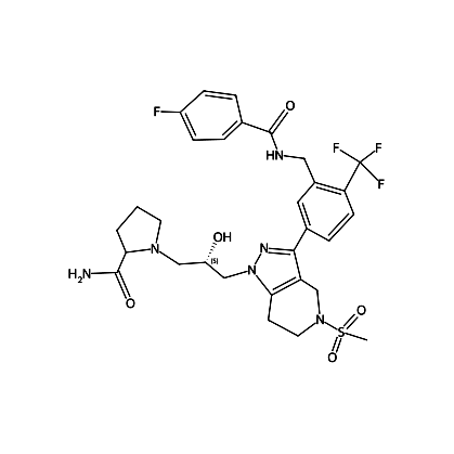 CS(=O)(=O)N1CCc2c(c(-c3ccc(C(F)(F)F)c(CNC(=O)c4ccc(F)cc4)c3)nn2C[C@@H](O)CN2CCCC2C(N)=O)C1